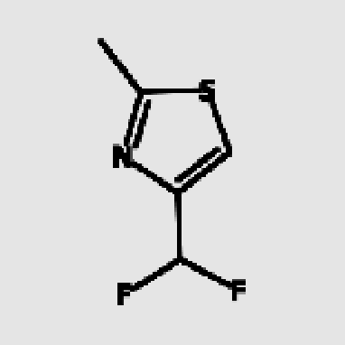 Cc1nc(C(F)F)cs1